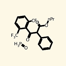 CCCOC(=O)C(C(=O)c1c(C(F)(F)F)cccc1C(F)(F)F)c1ccccc1.O=[PH3]